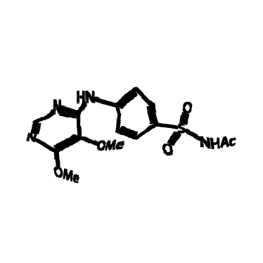 COc1ncnc(Nc2ccc(S(=O)(=O)NC(C)=O)cc2)c1OC